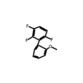 COc1ccccc1-c1c(F)ccc(F)c1F